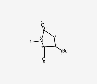 CCC(C)C1CC(=O)N(C)C1=O